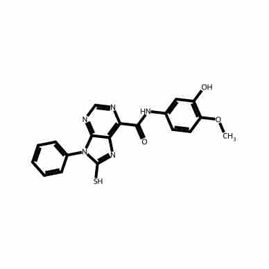 COc1ccc(NC(=O)c2ncnc3c2nc(S)n3-c2ccccc2)cc1O